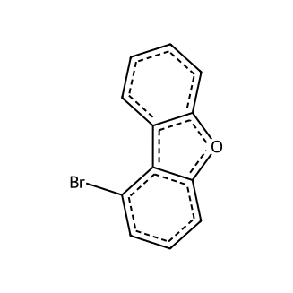 Brc1cccc2oc3ccccc3c12